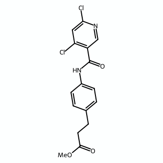 COC(=O)CCc1ccc(NC(=O)c2cnc(Cl)cc2Cl)cc1